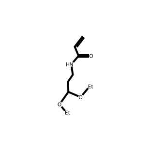 C=CC(=O)NCCC(OCC)OCC